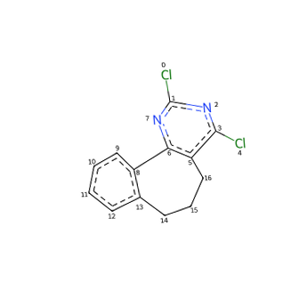 Clc1nc(Cl)c2c(n1)-c1ccccc1CCC2